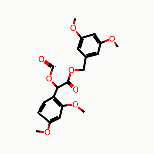 COc1cc(COC(=O)C(O[C]=O)c2ccc(OC)cc2OC)cc(OC)c1